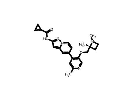 Cc1cc(-c2ccn3nc(NC(=O)C4CC4)cc3c2)c(OC[C@@]2(C)CCN2C)cn1